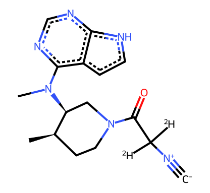 [2H]C([2H])([N+]#[C-])C(=O)N1CC[C@@H](C)[C@@H](N(C)c2ncnc3[nH]ccc23)C1